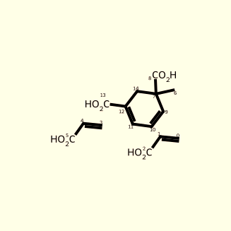 C=CC(=O)O.C=CC(=O)O.CC1(C(=O)O)C=CC=C(C(=O)O)C1